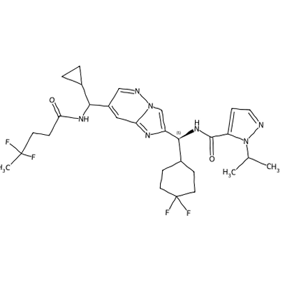 CC(C)n1nccc1C(=O)N[C@H](c1cn2ncc(C(NC(=O)CCC(C)(F)F)C3CC3)cc2n1)C1CCC(F)(F)CC1